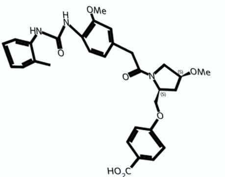 COc1cc(CC(=O)N2C[C@@H](OC)C[C@H]2COc2ccc(C(=O)O)cc2)ccc1NC(=O)Nc1ccccc1C